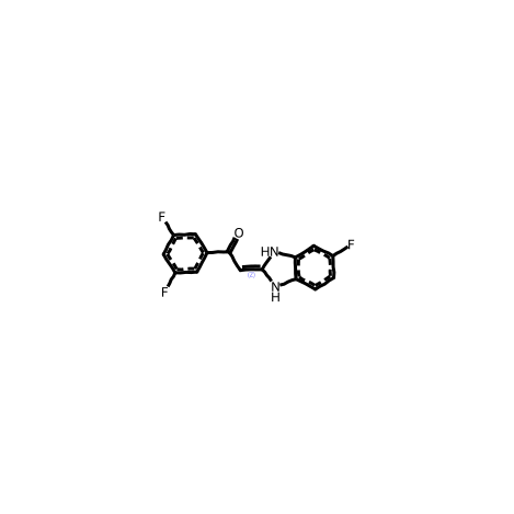 O=C(/C=C1/Nc2ccc(F)cc2N1)c1cc(F)cc(F)c1